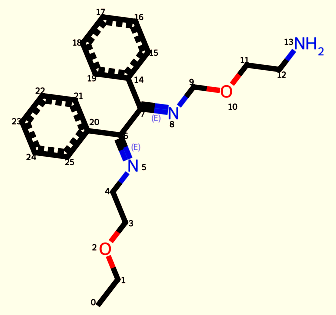 CCOCC/N=C(/C(=N/COCCN)c1ccccc1)c1ccccc1